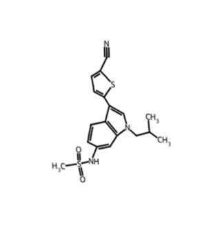 CC(C)Cn1cc(-c2ccc(C#N)s2)c2ccc(NS(C)(=O)=O)cc21